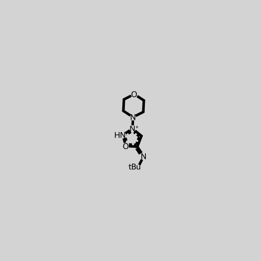 CC(C)(C)/N=c1/c[n+](N2CCOCC2)[nH]o1